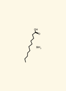 CCCCCCCCCCC(=O)O.[BiH3]